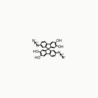 [N-]=[N+]=Nc1ccc2c(c1)C1(c3cc(N=[N+]=[N-])ccc3-c3cc(O)c(O)cc31)c1cc(O)c(O)cc1-2